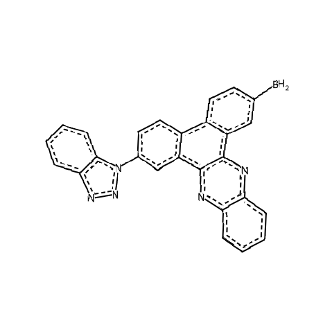 Bc1ccc2c3ccc(-n4nnc5ccccc54)cc3c3nc4ccccc4nc3c2c1